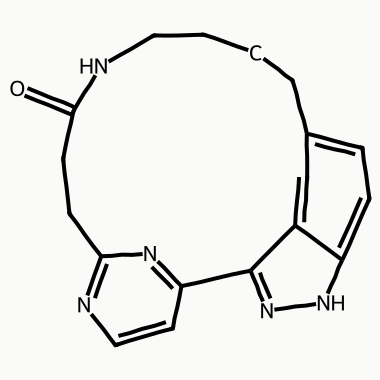 O=C1CCc2nccc(n2)-c2n[nH]c3ccc(cc23)CCCCN1